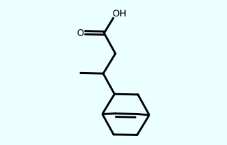 CC(CC(=O)O)C1CC2C=CC1CC2